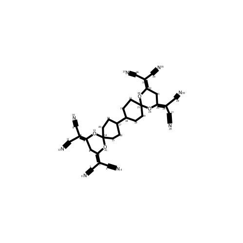 N#CC(C#N)=C1CC(=C(C#N)C#N)OC2(CCC(C3CCC4(CC3)OC(=C(C#N)C#N)CC(=C(C#N)C#N)O4)CC2)O1